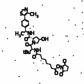 Cc1ncsc1-c1ccc([C@H](C)NC(=O)[C@@H]2C[C@@H](O)CN2C(=O)[C@@H](NC(=O)CCCCCCC(=O)ON2C(=O)CCC2=O)C(C)(C)C)cc1